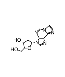 OCC1O[C@@H](n2cnc3c2ncn2ccnc32)C[C@H]1O